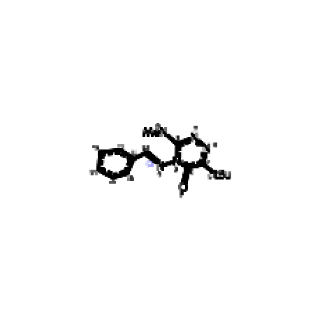 CNc1nnc(C(C)(C)C)c(=O)n1/N=C/c1ccccc1